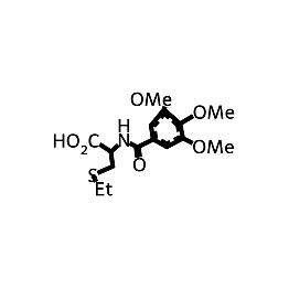 CCSCC(NC(=O)c1cc(OC)c(OC)c(OC)c1)C(=O)O